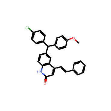 COc1ccc(C(c2ccc(Cl)cc2)c2ccc3[nH]c(=O)cc(/C=C/c4ccccc4)c3c2)cc1